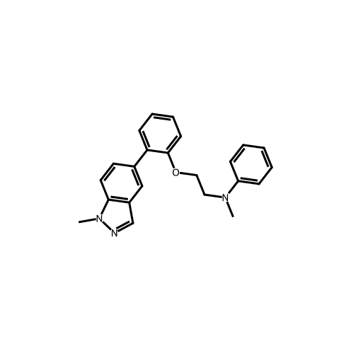 CN(CCOc1ccccc1-c1ccc2c(cnn2C)c1)c1ccccc1